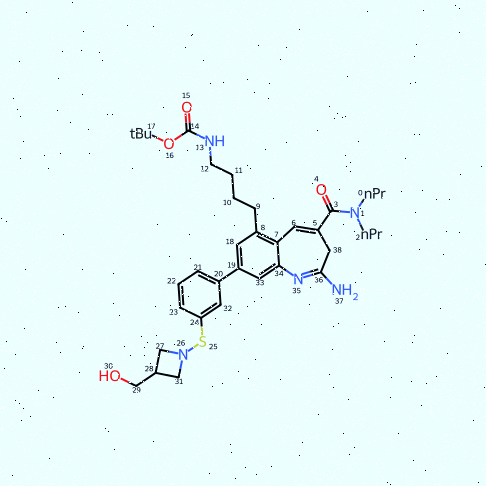 CCCN(CCC)C(=O)C1=Cc2c(CCCCNC(=O)OC(C)(C)C)cc(-c3cccc(SN4CC(CO)C4)c3)cc2N=C(N)C1